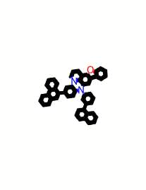 c1cc(-c2cccc3ccccc23)cc(N(c2ccc(-c3cc4ccccc4c4ccccc34)cc2)c2cc3c4ccccc4oc3c3cccnc23)c1